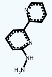 NNc1cccc(-c2ccccn2)n1